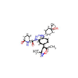 Cc1noc(C)c1-c1ccc(N[C@H]2CC[C@@](C)(O)CC2)c(NC(=O)[C@@H]2CCCC(=O)N2)c1